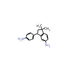 CC1(C)CC(c2ccc(N)cc2)c2cc(N)ccc21